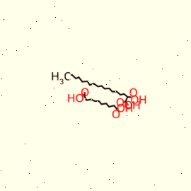 CCCCCCCCCCCCCCCCC(C(=O)O)C(=O)O.O=C(O)CCCCCCCCC(=O)O